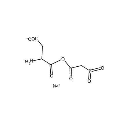 NC(CC(=O)[O-])C(=O)OC(=O)CP(=O)=O.[Na+]